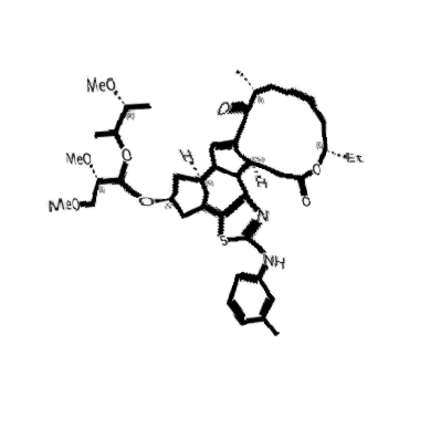 CC[C@H]1CCCC[C@@H](C)C(=O)C2=CC3C(c4nc(Nc5cccc(C)c5)sc4C4C[C@@H](OC(OC(C)[C@@H](C)OC)[C@H](COC)OC)C[C@H]43)[C@@H]2CC(=O)O1